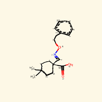 CC1(C)CCC(C=NOCc2ccccc2)(C(=O)O)CC1